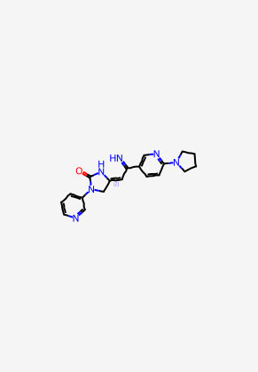 N=C(/C=C1/CN(c2cccnc2)C(=O)N1)c1ccc(N2CCCC2)nc1